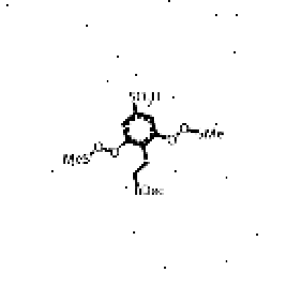 CCCCCCCCCCCCc1c(OOSC)cc(S(=O)(=O)O)cc1OOSC